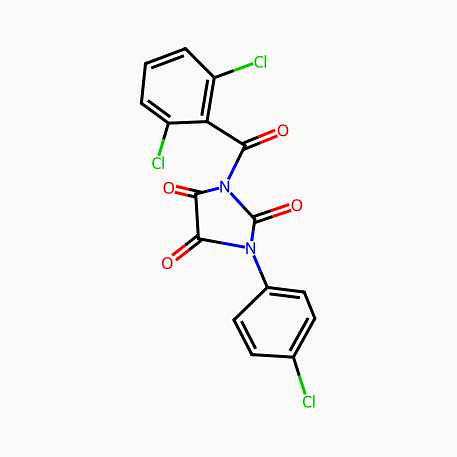 O=C1C(=O)N(c2ccc(Cl)cc2)C(=O)N1C(=O)c1c(Cl)cccc1Cl